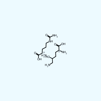 NC(=O)NCCC[C@H](N)C(=O)O.NCC(O)CC[C@H](N)C(=O)O